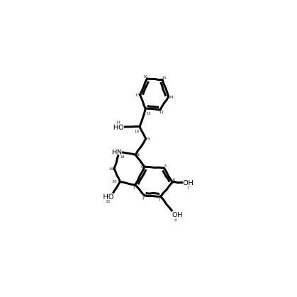 Oc1cc2c(cc1O)C(CC(O)c1ccccc1)NCC2O